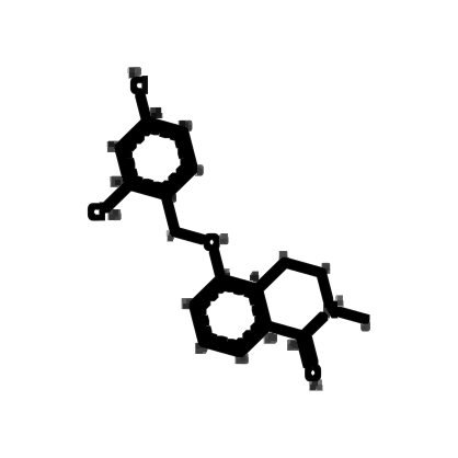 CN1CCc2c(OCc3ccc(Cl)cc3Cl)cccc2C1=O